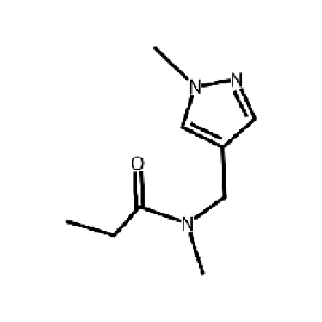 CCC(=O)N(C)Cc1cnn(C)c1